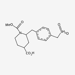 COC(=O)N1CCC(C(=O)O)CC1Cc1ccc(C[SH](=O)=O)cc1